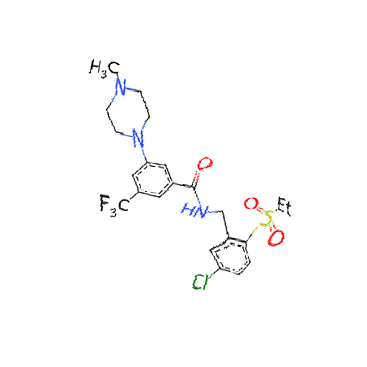 CCS(=O)(=O)c1ccc(Cl)cc1CNC(=O)c1cc(N2CCN(C)CC2)cc(C(F)(F)F)c1